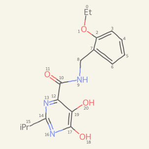 CCOc1ccccc1CNC(=O)c1nc(C(C)C)nc(O)c1O